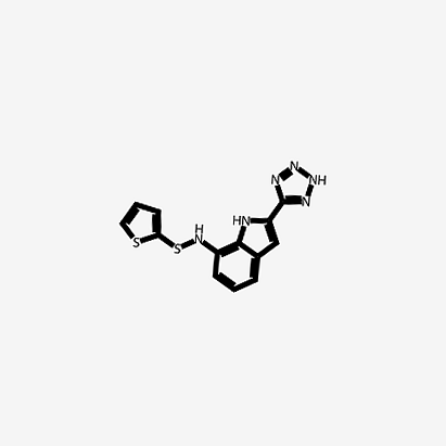 c1csc(SNc2cccc3cc(-c4nn[nH]n4)[nH]c23)c1